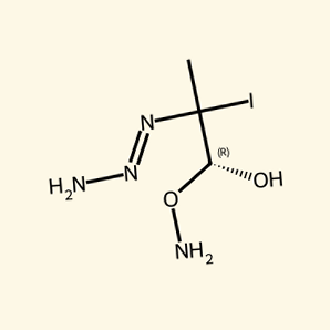 CC(I)(N=NN)[C@H](O)ON